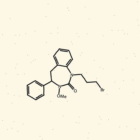 CON1C(=O)N(CCCBr)c2ccccc2CC1c1ccccc1